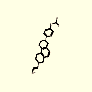 CCC/C=C/[C@H]1CCc2c(ccc3c2CC[C@H](c2ccc(OC(F)F)cc2)C3)C1